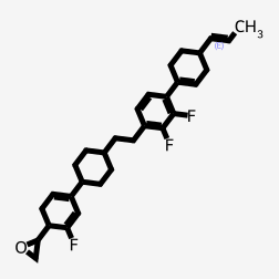 C/C=C/C1CC=C(c2ccc(CCC3CCC(C4=CCC(C5CO5)C(F)=C4)CC3)c(F)c2F)CC1